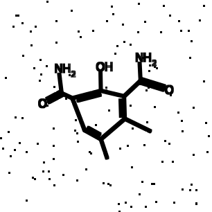 Cc1cc(C(N)=O)c(O)c(C(N)=O)c1C